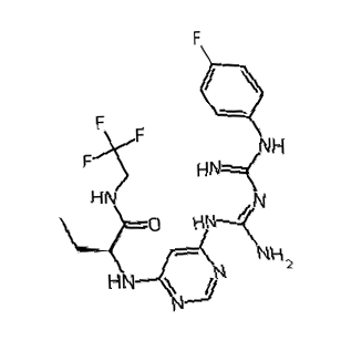 CC[C@H](Nc1cc(N/C(N)=N\C(=N)Nc2ccc(F)cc2)ncn1)C(=O)NCC(F)(F)F